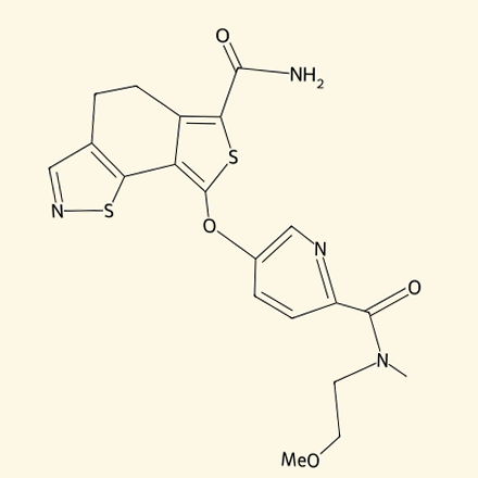 COCCN(C)C(=O)c1ccc(Oc2sc(C(N)=O)c3c2-c2sncc2CC3)cn1